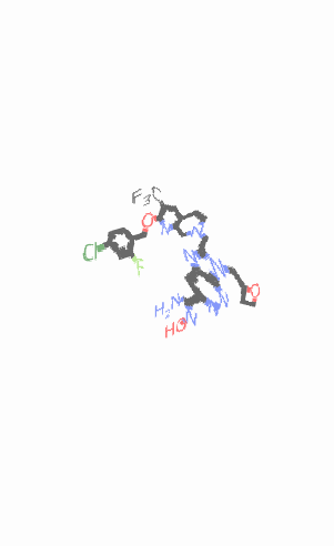 NC(=NO)c1cc2nc(CN3CCc4cc(C(F)(F)F)c(OCc5ccc(Cl)cc5F)nc4C3)n(CC3CCO3)c2nn1